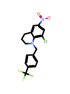 O=[N+]([O-])c1cc(Cl)c2c(c1)CCCN2Cc1ccc(C(F)(F)F)cc1